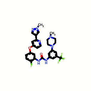 CN1CCN(c2cc(NC(=O)Nc3cc(Oc4ccnc(-c5cnn(C)c5)c4)ccc3F)cc(C(F)(F)F)c2)CC1